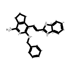 Cc1nc(OCc2ccccc2)c(C=Cc2nc3ccccc3o2)c2c1CCC2